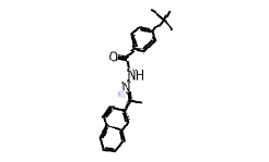 C/C(=N\NC(=O)c1ccc(C(C)(C)C)cc1)c1ccc2ccccc2c1